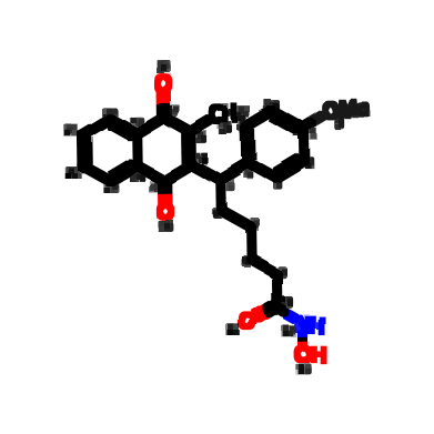 COc1ccc(C(CCCCC(=O)NO)C2=C(C)C(=O)c3ccccc3C2=O)cc1